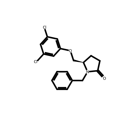 O=C1CC[C@H](COc2cc(Cl)cc(Cl)c2)N1Cc1ccccc1